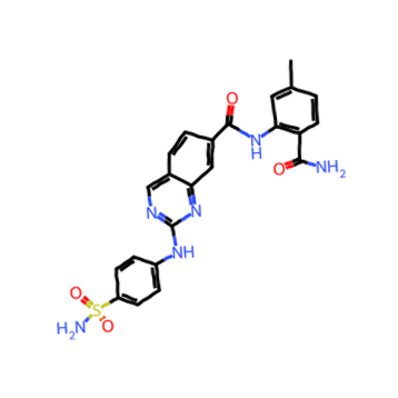 Cc1ccc(C(N)=O)c(NC(=O)c2ccc3cnc(Nc4ccc(S(N)(=O)=O)cc4)nc3c2)c1